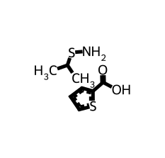 CC(C)SN.O=C(O)c1cccs1